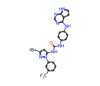 CC(C)(C)c1cc(NC(=O)Nc2ccc(Nc3ncnc4[nH]ccc34)cc2)n(-c2cccc(C(F)(F)F)c2)n1